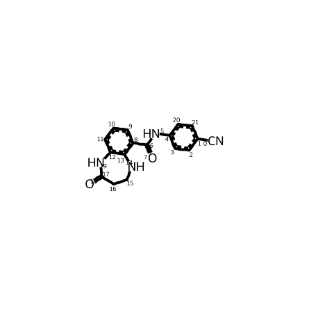 N#Cc1ccc(NC(=O)c2cccc3c2NCCC(=O)N3)cc1